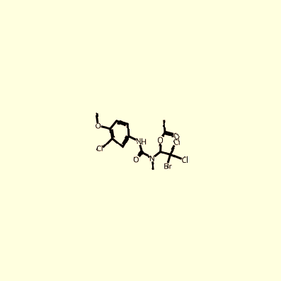 COc1ccc(NC(=O)N(C)C(OC(C)=O)C(Cl)(Cl)Br)cc1Cl